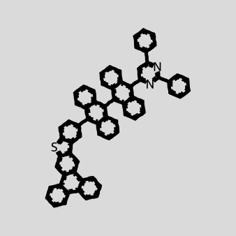 c1ccc(-c2cc(-c3c4ccccc4c(-c4c5ccccc5c(-c5ccc6sc7cc8c9ccccc9c9ccccc9c8cc7c6c5)c5ccccc45)c4ccccc34)nc(-c3ccccc3)n2)cc1